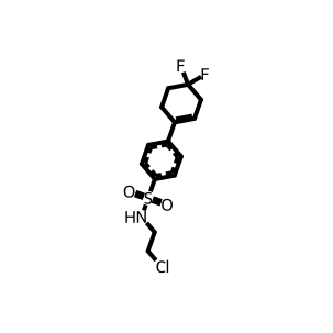 O=S(=O)(NCCCl)c1ccc(C2=CCC(F)(F)CC2)cc1